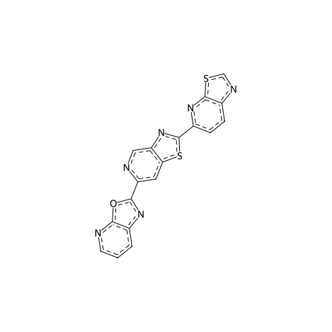 c1cnc2oc(-c3cc4sc(-c5ccc6ncsc6n5)nc4cn3)nc2c1